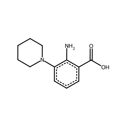 Nc1c(C(=O)O)cccc1N1CCCCC1